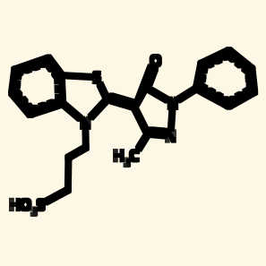 CC1=NN(c2ccccc2)C(=O)C1=C1Sc2ccccc2N1CCCS(=O)(=O)O